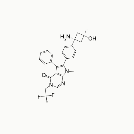 Cn1c(-c2ccc([C@]3(N)C[C@](C)(O)C3)cc2)c(-c2ccccc2)c2c(=O)n(CC(F)(F)F)cnc21